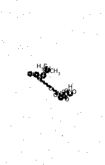 Cc1cc(N2CCC(N(CCCCCCOCCCC(=O)Nc3cccc4c3C(=O)N(C3CCC(=O)NC3=O)C4=O)Cc3cccc(N4CCCC4)c3)CC2)nc(C)n1